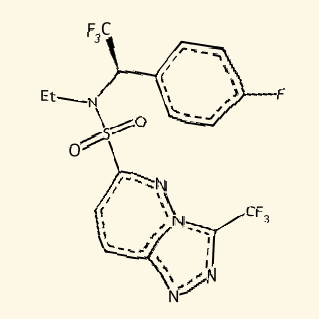 CCN([C@H](c1ccc(F)cc1)C(F)(F)F)S(=O)(=O)c1ccc2nnc(C(F)(F)F)n2n1